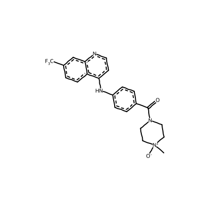 C[N+]1([O-])CCN(C(=O)c2ccc(Nc3ccnc4cc(C(F)(F)F)ccc34)cc2)CC1